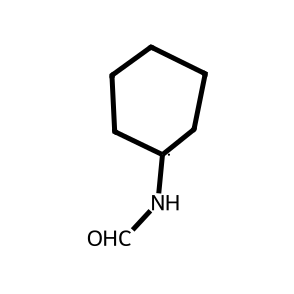 O=CN[C]1CCCCC1